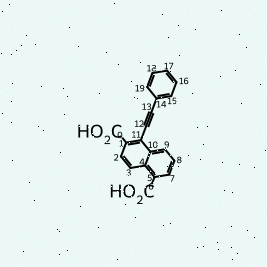 O=C(O)c1ccc2c(C(=O)O)cccc2c1C#Cc1ccccc1